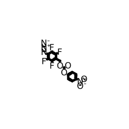 [N-]=[N+]=Nc1c(F)c(F)c(COC(=O)Oc2ccc([N+](=O)[O-])cc2)c(F)c1F